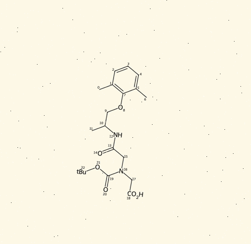 Cc1cccc(C)c1OCC(C)NC(=O)CN(CC(=O)O)C(=O)OC(C)(C)C